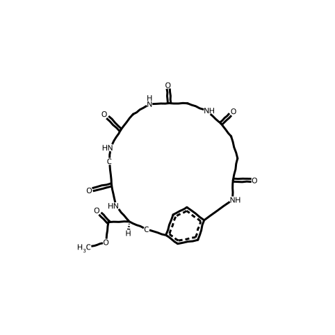 COC(=O)[C@@H]1Cc2ccc(cc2)NC(=O)CCC(=O)NCC(=O)NCC(=O)NCC(=O)N1